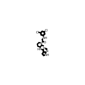 CC1C(Nc2ncnc3[nH]ccc23)CCCN1C(=O)CNc1cc(Cl)cc(Cl)c1